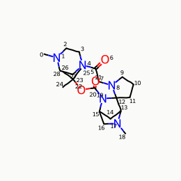 CN1CCN(C(=O)CN2CCCC23C2CC(CN2C)N3C(=O)OC(C)(C)C)CC1